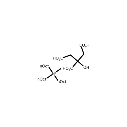 CCCCCCCC[N+](C)(CCCCCCCC)CCCCCCCC.O=C(O)CC(O)(CC(=O)O)C(=O)O